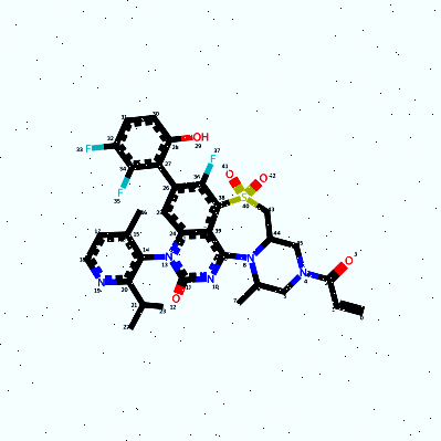 C=CC(=O)N1CC(C)N2c3nc(=O)n(-c4c(C)ccnc4C(C)C)c4cc(-c5c(O)ccc(F)c5F)c(F)c(c34)S(=O)(=O)CC2C1